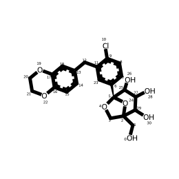 OCC12CO[C@@](c3ccc(Cl)c(Cc4ccc5c(c4)OCCO5)c3)(O1)C(O)C(O)C2O